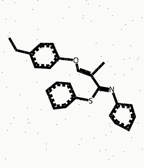 CCc1ccc(O/C=C(C)/C(=N/c2ccccc2)Sc2ccccc2)cc1